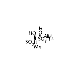 O=S(=O)(O)O.O=S(=O)(O)O.[AlH3].[Mn]